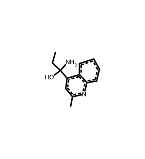 CCC(N)(O)c1cc(C)nc2ccccc12